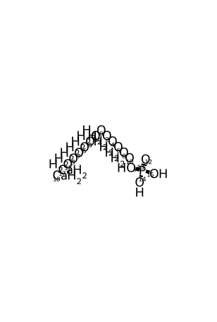 O.O.O.O.O.O.O.O.O.O.O.O.O=P(O)(O)O.[CaH2].[CaH2]